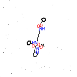 CC(C)(C)OC(=O)N[C@H](CC1CCCCC1)[C@H](CNCCCCCCNC(=O)OCc1ccccc1)OCc1ccccc1